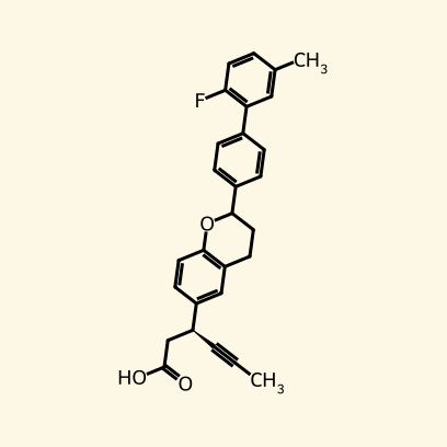 CC#C[C@@H](CC(=O)O)c1ccc2c(c1)CCC(c1ccc(-c3cc(C)ccc3F)cc1)O2